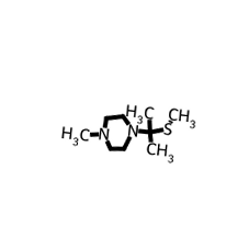 CSC(C)(C)N1CCN(C)CC1